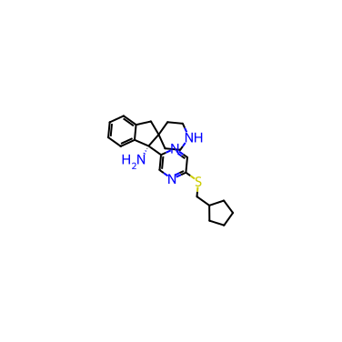 N[C@]1(c2cnc(SCC3CCCC3)cn2)c2ccccc2CC12CCNCC2